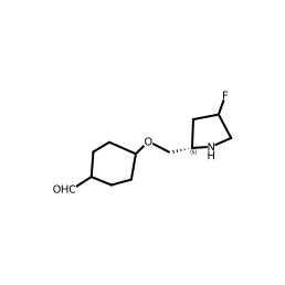 O=CC1CCC(OC[C@@H]2CC(F)CN2)CC1